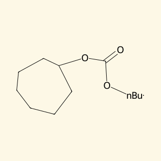 CCC[CH]OC(=O)OC1CCCCCC1